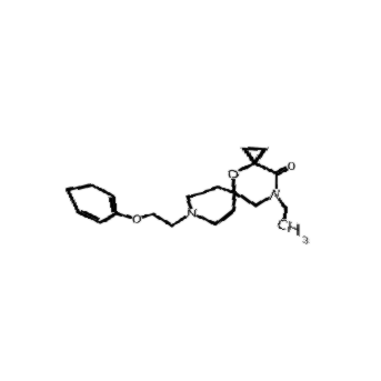 CCN1CC2(CCN(CCOC3=CCCC=C3)CC2)OC2(CC2)C1=O